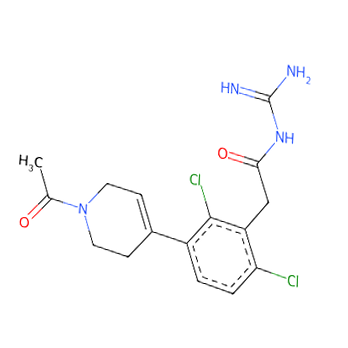 CC(=O)N1CC=C(c2ccc(Cl)c(CC(=O)NC(=N)N)c2Cl)CC1